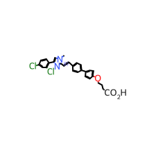 Cn1cc(-c2ccc(Cl)cc2Cl)nc1/C=C/c1ccc(-c2ccc(OCCCC(=O)O)cc2)cc1